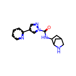 O=C(NC1CC2CNC1C2)n1cc(-c2ccccn2)cn1